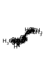 CCN(C)S(=O)(=O)Nc1ccc(F)c(Oc2ccc3ncn(CCCC4CCN(C(=O)OC(C)(C)C)CC4)c(=O)c3c2)c1C#N